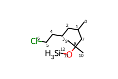 CC(CCCCCl)CC(C)(C)O[SiH3]